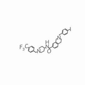 O=C(NC1CCN(Cc2ccc(C(F)(F)F)cc2)CC1)c1ccc2c(c1)CN(Cc1ccc(I)cc1)CC2